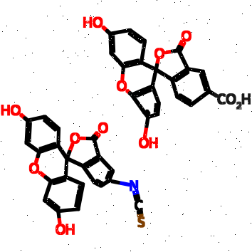 O=C(O)c1ccc2c(c1)C(=O)OC21c2ccc(O)cc2Oc2cc(O)ccc21.O=C1OC2(c3ccc(O)cc3Oc3cc(O)ccc32)c2ccc(N=C=S)cc21